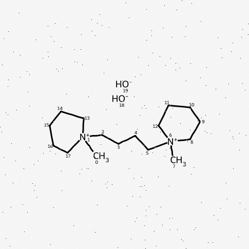 C[N+]1(CCCC[N+]2(C)CCCCC2)CCCCC1.[OH-].[OH-]